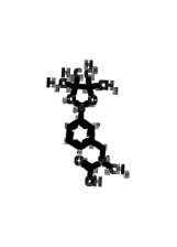 CN(Cc1cccc(B2OC(C)(C)C(C)(C)O2)c1)C(=O)O